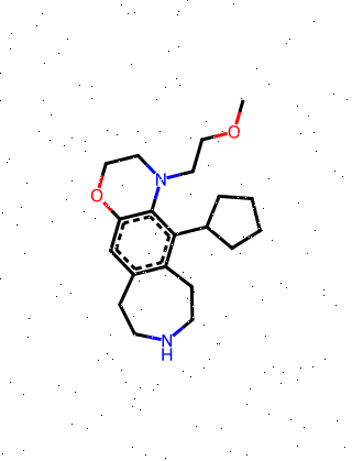 COCCN1CCOc2cc3c(c(C4CCCC4)c21)CCNCC3